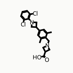 Cc1cc(C2CN(c3c(Cl)cccc3Cl)C2)cc(C)c1CN1CC(C(=O)O)C1